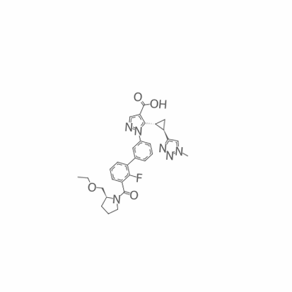 CCOC[C@@H]1CCCN1C(=O)c1cccc(-c2cccc(-n3ncc(C(=O)O)c3[C@@H]3C[C@H]3c3cn(C)nn3)c2)c1F